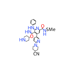 CSNC(=O)c1cc(-c2ccc(N3CCC(C#N)CC3)nc2)c(C(=N)OC2CCNCC2)c(Nc2ccccc2)n1